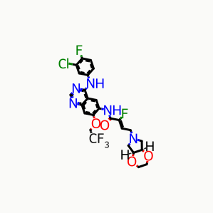 O=C(Nc1cc2c(Nc3ccc(F)c(Cl)c3)ncnc2cc1OCC(F)(F)F)/C(F)=C/CN1C[C@@H]2OCCO[C@@H]2C1